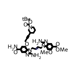 COC(=O)c1cc(OC)c2c(c1)nc(N)n2C/C=C/Cn1c(N)nc2cc(C(N)=O)cc(OCC#CC3CCCN(C(=O)OC(C)(C)C)C3)c21